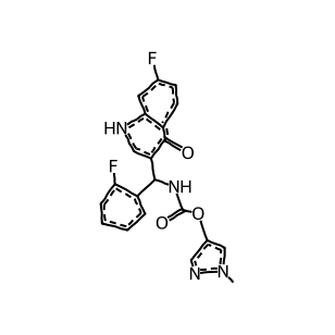 Cn1cc(OC(=O)NC(c2ccccc2F)c2c[nH]c3cc(F)ccc3c2=O)cn1